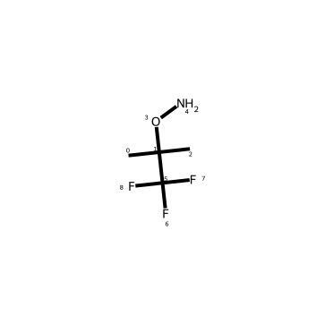 CC(C)(ON)C(F)(F)F